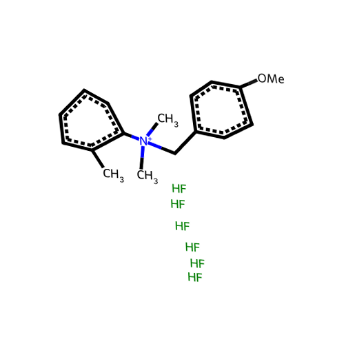 COc1ccc(C[N+](C)(C)c2ccccc2C)cc1.F.F.F.F.F.F